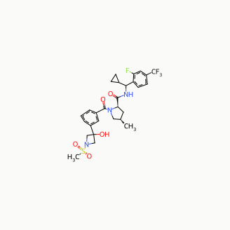 C[C@@H]1C[C@H](C(=O)NC(c2ccc(C(F)(F)F)cc2F)C2CC2)N(C(=O)c2cccc(C3(O)CN(S(C)(=O)=O)C3)c2)C1